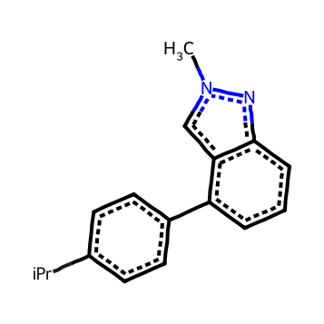 CC(C)c1ccc(-c2cccc3nn(C)cc23)cc1